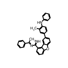 C/C(=N\C(=N)c1cccc2oc3ccc(-c4ccc(Nc5ccccc5)c(C)c4)cc3c12)c1ccccc1